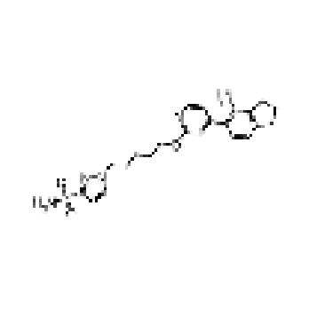 Nc1c(-c2ccnc(OCCCCCn3ccc(S(N)(=O)=O)n3)c2)ccc2c1CCC2